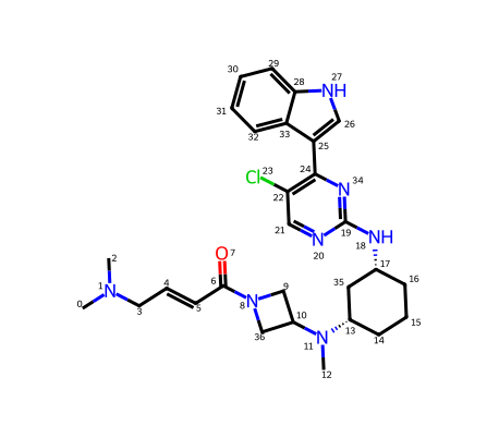 CN(C)C/C=C/C(=O)N1CC(N(C)[C@H]2CCC[C@@H](Nc3ncc(Cl)c(-c4c[nH]c5ccccc45)n3)C2)C1